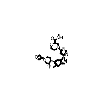 CNC(=O)C1CN(c2cc(-n3ncc4cc(C)c([C@H]5CCN(C6COC6)C[C@H]5F)cc43)ncn2)CCO1